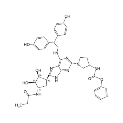 CCC(=O)N[C@H]1C[C@H](c2nc3c(NCC(c4ccc(O)cc4)c4ccc(O)cc4)nc(N4CCC(NC(=O)Oc5ccccc5)C4)nc3[nH]2)[C@H](O)[C@@H]1O